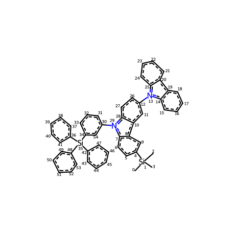 C[Si](C)(C)c1ccc2c(c1)c1cc(-n3c4ccccc4c4ccccc43)ccc1n2-c1cccc([Si](c2ccccc2)(c2ccccc2)c2ccccc2)c1